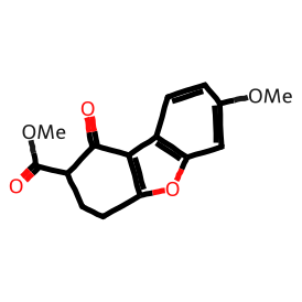 COC(=O)C1CCc2oc3cc(OC)ccc3c2C1=O